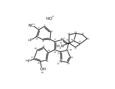 Cl.N#Cc1ccc(-c2nc(N3C4CCC3CC(N)C4)n3ccnc3c2-c2ccc(F)c(O)c2)cc1F